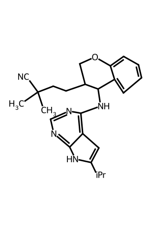 CC(C)c1cc2c(NC3c4ccccc4OCC3CCC(C)(C)C#N)ncnc2[nH]1